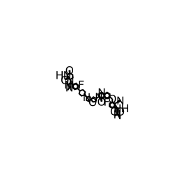 CCN(C)S(=O)(=O)Nc1ccc(F)c(Oc2ccc3ncn(C4COC5(CCN(C6CCC(c7cc8c(cc7F)c(N7CCC(=O)NC7=O)nn8C)CC6)C5)C4)c(=O)c3c2)c1C#N